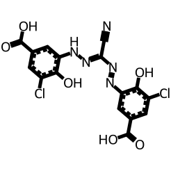 N#CC(N=Nc1cc(C(=O)O)cc(Cl)c1O)=NNc1cc(C(=O)O)cc(Cl)c1O